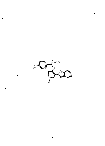 O=C(O)C(Oc1ccc(Cl)cc1-n1nc2ccccc2n1)c1ccc(C(F)(F)F)cc1